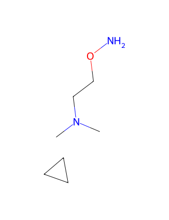 C1CC1.CN(C)CCON